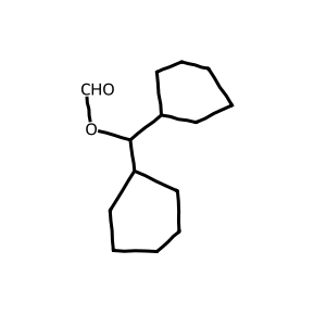 O=COC(C1CCCCC1)C1CCCCC1